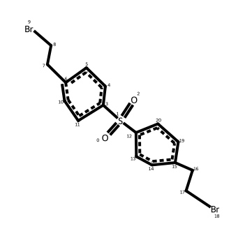 O=S(=O)(c1ccc(CCBr)cc1)c1ccc(CCBr)cc1